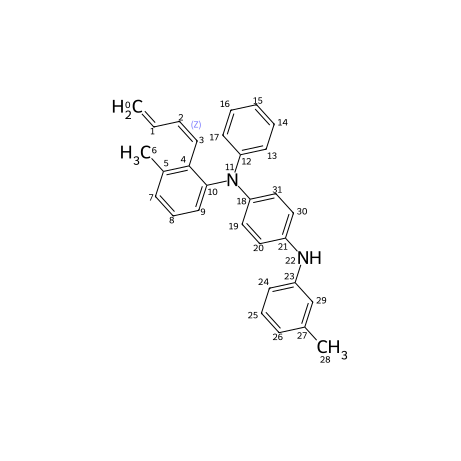 C=C/C=C\c1c(C)cccc1N(c1ccccc1)c1ccc(Nc2cccc(C)c2)cc1